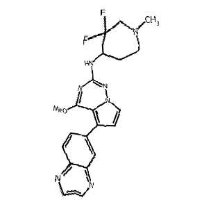 COc1nc(NC2CCN(C)CC2(F)F)nn2ccc(-c3ccc4nccnc4c3)c12